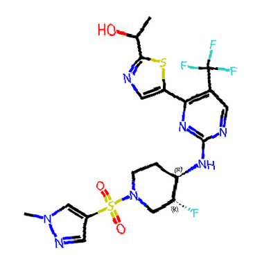 CC(O)c1ncc(-c2nc(N[C@@H]3CCN(S(=O)(=O)c4cnn(C)c4)C[C@H]3F)ncc2C(F)(F)F)s1